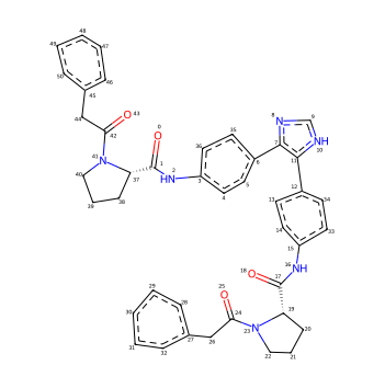 O=C(Nc1ccc(-c2nc[nH]c2-c2ccc(NC(=O)[C@@H]3CCCN3C(=O)Cc3ccccc3)cc2)cc1)[C@@H]1CCCN1C(=O)Cc1ccccc1